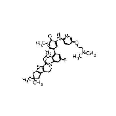 [CH2]c1c(-c2cc(Nc3ccc(OCCN(C)C)cn3)c(=O)n(C)c2)cc(F)cc1N1CCc2c(sc3c2CC(C)(C)C3)C1=O